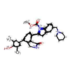 Cc1cc(-c2ccc(-c3cc4cc(CN5CCCCC5)ccc4n3C(=O)OC(C)(C)C)c3c2CNC3=O)cc(C)c1O